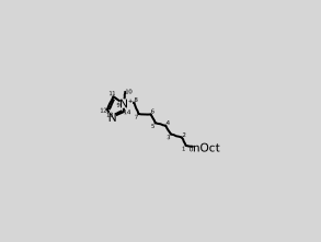 CCCCCCCCCCCCCCCC[N+]1(C)C=CN=C1